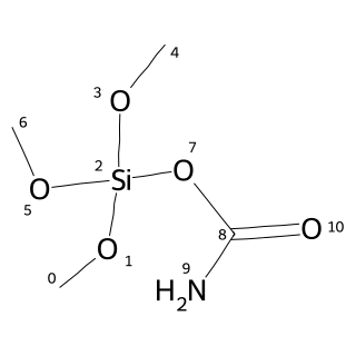 CO[Si](OC)(OC)OC(N)=O